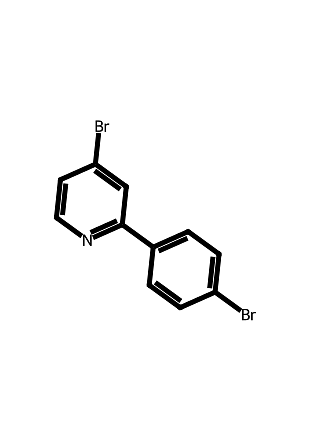 Brc1ccc(-c2cc(Br)ccn2)cc1